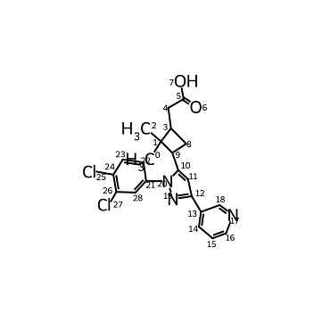 CC1(C)C(CC(=O)O)CC1c1cc(-c2cccnc2)nn1-c1ccc(Cl)c(Cl)c1